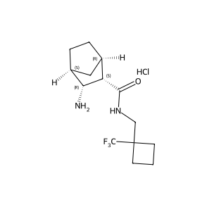 Cl.N[C@@H]1[C@H]2CC[C@H](C2)[C@@H]1C(=O)NCC1(C(F)(F)F)CCC1